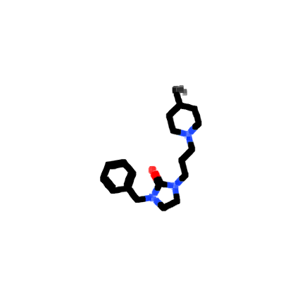 CC1CCN(CCCN2CCN(Cc3ccccc3)C2=O)CC1